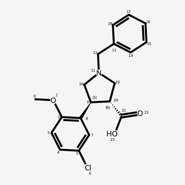 COc1ccc(Cl)cc1[C@H]1CN(Cc2ccccc2)C[C@@H]1C(=O)O